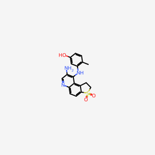 Cc1ccc(O)cc1Nc1c(N)cnc2ccc3c(c12)CCS3(=O)=O